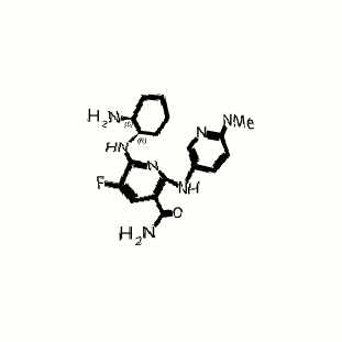 CNc1ccc(Nc2nc(N[C@@H]3CCCC[C@@H]3N)c(F)cc2C(N)=O)cn1